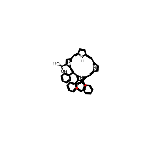 OB(O)C1=Cc2cc3ccc(cc4nc(cc5c(-c6ccccc6)c(-c6ccccc6)c(c(-c6ccccc6)c1n2)n5-c1ccccc1)C=C4)[nH]3